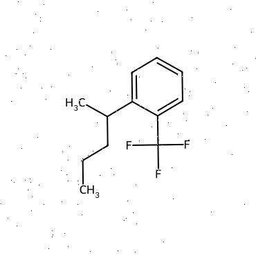 CCCC(C)c1ccccc1C(F)(F)F